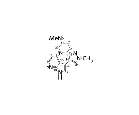 CNC1CCCN(c2ccnc3[nH]cc(-c4cnn(C)c4)c23)C1